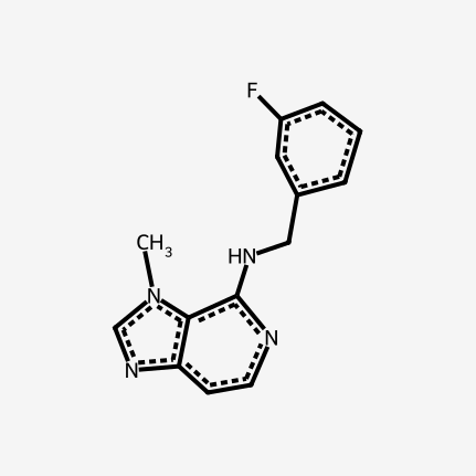 Cn1cnc2ccnc(NCc3cccc(F)c3)c21